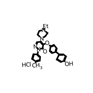 CCN1CCN(c2cnn(-c3ccc(C)cc3)c(=O)c2Oc2ccc(-c3ccc(O)cc3)cc2)CC1.Cl